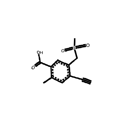 C#Cc1cc(C)c(C(=O)O)cc1CS(C)(=O)=O